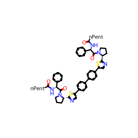 CCCCCC(=O)N[C@@H](C(=O)N1CCC[C@H]1c1ncc(-c2ccc(-c3ccc(-c4cnc([C@@H]5CCCN5C(=O)[C@H](NC(=O)CCCCC)c5ccccc5)s4)cc3)cc2)s1)c1ccccc1